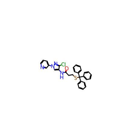 O=C(CCSC(c1ccccc1)(c1ccccc1)c1ccccc1)Nc1cn(-c2cccnc2)nc1Cl